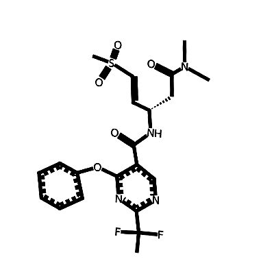 CN(C)C(=O)C[C@@H](/C=C/S(C)(=O)=O)NC(=O)c1cnc(C(C)(F)F)nc1Oc1ccccc1